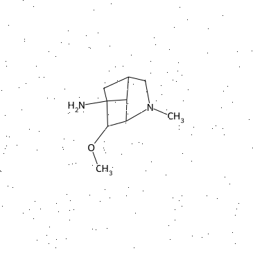 COC1C2C3C(CN2C)CC13N